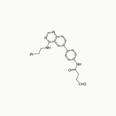 CC(C)CCNc1ncnc2ccc(-c3ccc(NC(=O)CCC=O)cc3)cc12